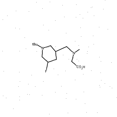 CN(CC(=O)O)CC1CC(F)CN(C(C)(C)C)C1